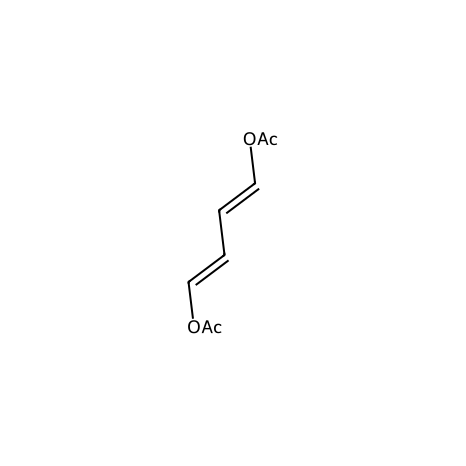 CC(=O)OC=CC=COC(C)=O